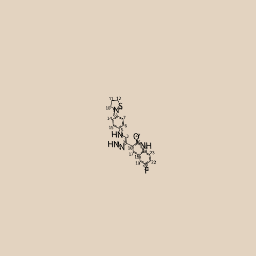 N=N/C(=C\Nc1ccc(N2CCCS2)cc1)c1cc2cc(F)ccc2[nH]c1=O